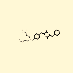 CN(C)CCCN(CCCN(C)C)Cc1ccc(/C=c2\[nH]c(=O)/c(=C/c3ccccc3)[nH]c2=O)cc1